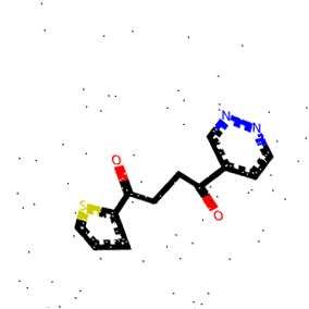 O=C(CCC(=O)c1cccs1)c1ccnnc1